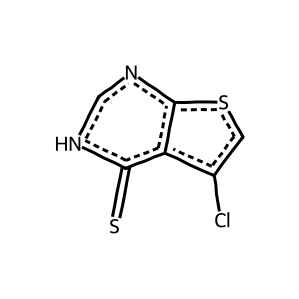 S=c1[nH]cnc2scc(Cl)c12